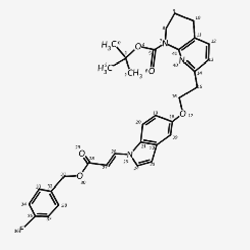 CC(C)(C)OC(=O)N1CCCc2ccc(CCOc3ccc4c(ccn4C=CC(=O)OCc4ccc(F)cc4)c3)nc21